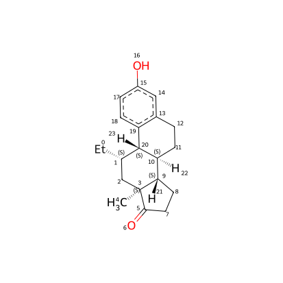 CC[C@H]1C[C@]2(C)C(=O)CC[C@H]2[C@@H]2CCc3cc(O)ccc3[C@@H]12